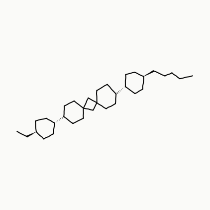 CCCCC[C@H]1CC[C@H](C2CCC3(CC2)CC2(CCC([C@H]4CC[C@H](CC)CC4)CC2)C3)CC1